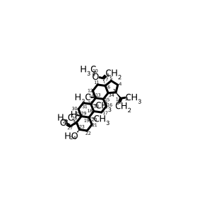 C=C(C)[C@@H]1CC[C@]2(C(=C)OC)CC[C@]3(C)C(CCC4[C@@]5(C)CC[C@H](O)[C@@](C)(C=O)[C@@H]5CC[C@]43C)C12